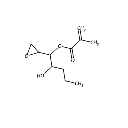 C=C(C)C(=O)OC(C(O)CCC)C1CO1